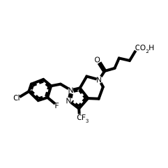 O=C(O)CCCC(=O)N1CCc2c(C(F)(F)F)nn(Cc3ccc(Cl)cc3F)c2C1